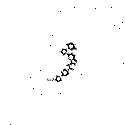 CO[C@H]1CCN(c2ccc(C(=O)Nc3cnc4ccc(N5CCC[C@@H]5c5cc(F)ccc5F)nn34)cn2)C1